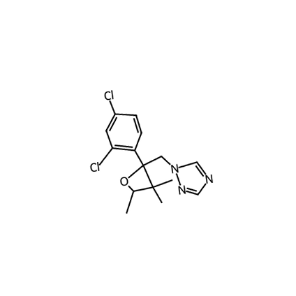 CC1OC(Cn2cncn2)(c2ccc(Cl)cc2Cl)C1(C)C